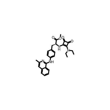 CCN(CC)c1c(N[C@@H](Cc2ccc(Nc3nc(C)cc4ccccc34)cc2)C(=O)OC)c(=O)c1=O